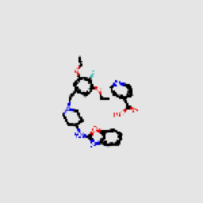 CCOc1cc(CN2CCC(Nc3nc4ccccc4o3)CC2)cc(OCC)c1F.O=C(O)c1ccncc1